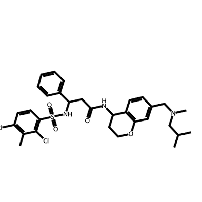 Cc1c(Cl)ccc(S(=O)(=O)NC(CC(=O)NC2CCOc3cc(CN(C)CC(C)C)ccc32)c2ccccc2)c1Cl